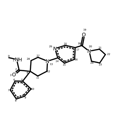 CNC(=O)C1(c2ccccc2)CCN(c2ccc(C(=O)N3CCCC3)cn2)CC1